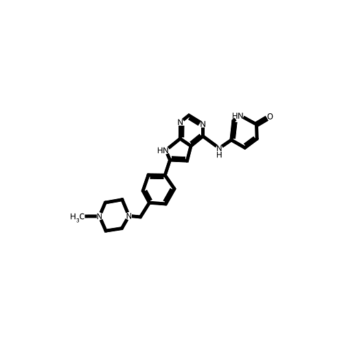 CN1CCN(Cc2ccc(-c3cc4c(Nc5ccc(=O)[nH]c5)ncnc4[nH]3)cc2)CC1